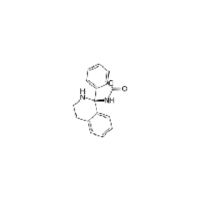 O=C(Cl)N[C@]1(c2ccccc2)NCCc2ccccc21